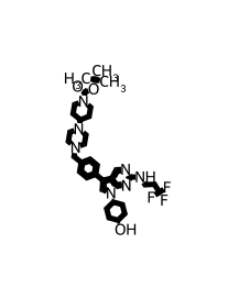 CC(C)(C)OC(=O)N1CCC(N2CCN(Cc3ccc(-c4cn([C@H]5CC[C@H](O)CC5)c5nc(NCCC(F)(F)F)ncc45)cc3)CC2)CC1